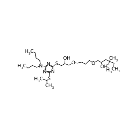 CCCCN(CCCC)c1nc(SCC(O)COCCCCOCC(O)CC(C)(C)CC)nc(SC(C)C)n1